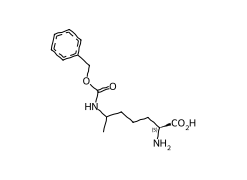 CC(CCC[C@H](N)C(=O)O)NC(=O)OCc1ccccc1